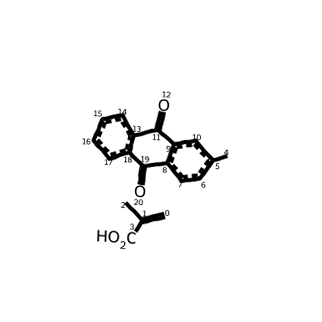 C=C(C)C(=O)O.Cc1ccc2c(c1)C(=O)c1ccccc1C2=O